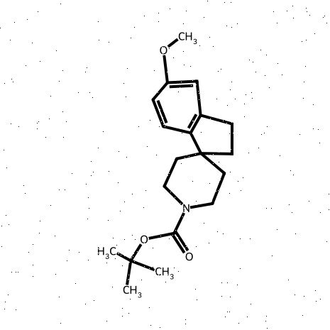 COc1ccc2c(c1)CCC21CCN(C(=O)OC(C)(C)C)CC1